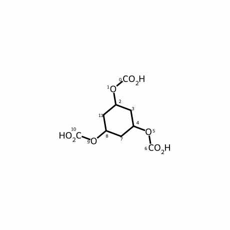 O=C(O)OC1CC(OC(=O)O)CC(OC(=O)O)C1